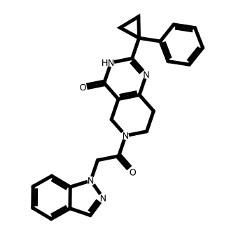 O=C(Cn1ncc2ccccc21)N1CCc2nc(C3(c4ccccc4)CC3)[nH]c(=O)c2C1